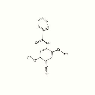 CCOC1=CC(=[N+]=[N-])C(OCC)C=C1NC(=O)c1ccccc1